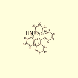 c1ccc(Cc2ccccc2)cc1.c1ccc(Nc2ccccc2)cc1